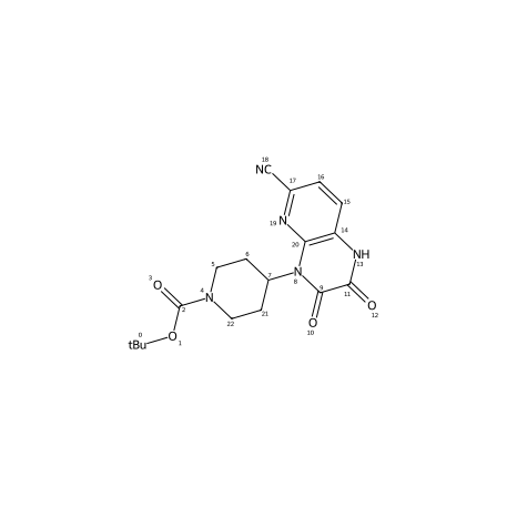 CC(C)(C)OC(=O)N1CCC(n2c(=O)c(=O)[nH]c3ccc(C#N)nc32)CC1